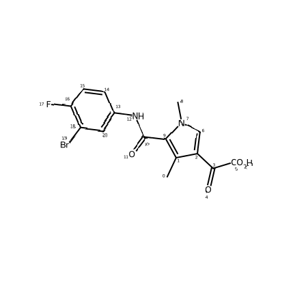 Cc1c(C(=O)C(=O)O)cn(C)c1C(=O)Nc1ccc(F)c(Br)c1